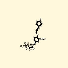 COc1cc(CNC(=O)C(NS(C)(=O)=O)C(C)C)ccc1OCC#Cc1ccc(F)cc1